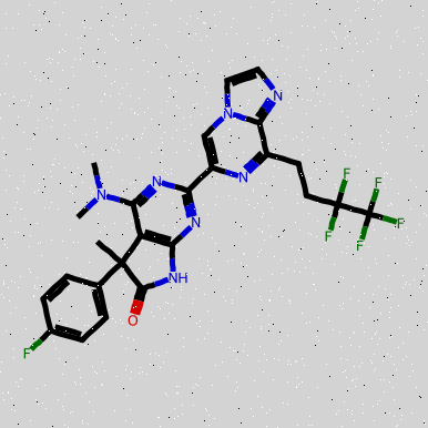 CN(C)c1nc(-c2cn3ccnc3c(CCC(F)(F)C(F)(F)F)n2)nc2c1C(C)(c1ccc(F)cc1)C(=O)N2